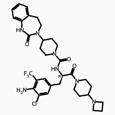 Nc1c(Cl)cc(C[C@@H](NC(=O)N2CCC(N3CCc4ccccc4NC3=O)CC2)C(=O)N2CCC(N3CCC3)CC2)cc1C(F)(F)F